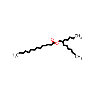 CCCCCCCCCCCCCC(=O)OCC(CCCCC)CCCCCCC